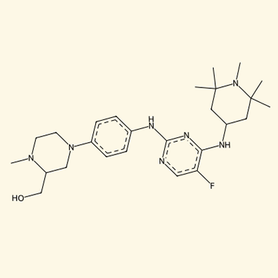 CN1CCN(c2ccc(Nc3ncc(F)c(NC4CC(C)(C)N(C)C(C)(C)C4)n3)cc2)CC1CO